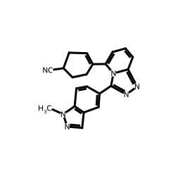 Cn1ncc2cc(-c3nnc4cccc(C5=CCC(C#N)CC5)n34)ccc21